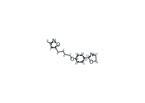 Cc1cc(CCCCOc2ccc(C3=NCCO3)cc2)on1